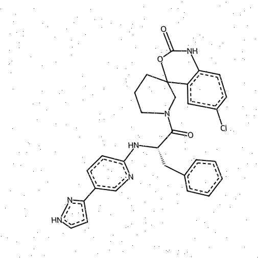 O=C1Nc2ccc(Cl)cc2C2(CCCN(C(=O)[C@H](Cc3ccccc3)Nc3ccc(-c4cc[nH]n4)cn3)C2)O1